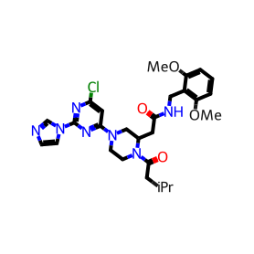 COc1cccc(OC)c1CNC(=O)CC1CN(c2cc(Cl)nc(-n3ccnc3)n2)CCN1C(=O)CC(C)C